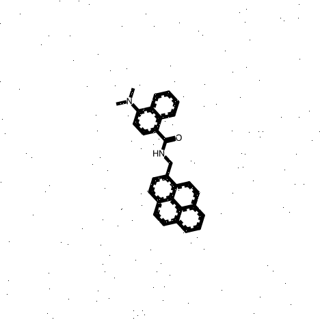 CN(C)c1ccc(C(=O)NCc2ccc3ccc4cccc5ccc2c3c45)c2ccccc12